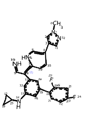 Cn1cc(C2=CN/C(=C(\C=N)c3cc(NC4CC4)cc(-c4ccc(F)cc4F)c3)C=C2)cn1